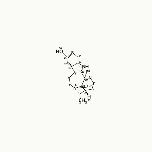 CC[C@H]1CC2CN3CCC4=C(NC5CC=C(O)C=C45)[C@@](I)(C2)C13